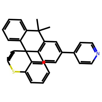 CC1(C)c2ccccc2C2(c3ccccc3Sc3ccccc32)c2ccc(-c3ccncc3)cc21